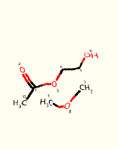 CC(=O)OCCO.COC